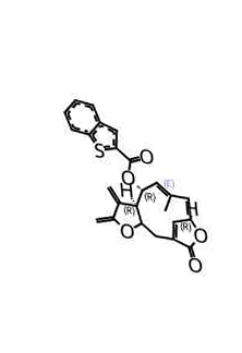 C=C1OC2CC3=C[C@@H](C/C(C)=C/[C@@H](OC(=O)c4cc5ccccc5s4)[C@@H]2C1=C)OC3=O